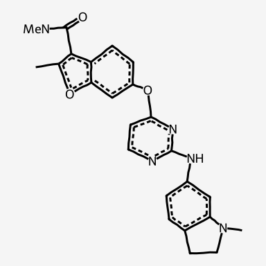 CNC(=O)c1c(C)oc2cc(Oc3ccnc(Nc4ccc5c(c4)N(C)CC5)n3)ccc12